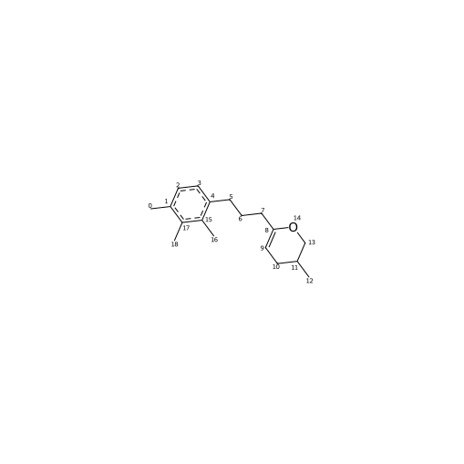 Cc1ccc(CCCC2=CCC(C)CO2)c(C)c1C